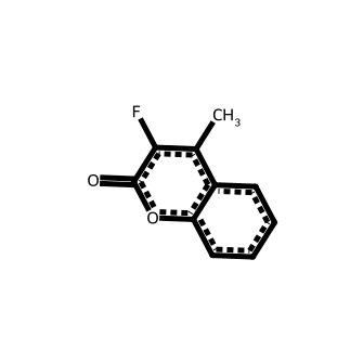 Cc1c(F)c(=O)oc2ccccc12